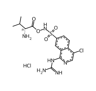 CC(C)[C@@H](N)C(=O)ONS(=O)(=O)c1ccc2c(Cl)cnc(NC(=N)N)c2c1.Cl